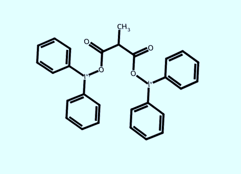 CC(C(=O)O[I+](c1ccccc1)c1ccccc1)C(=O)O[I+](c1ccccc1)c1ccccc1